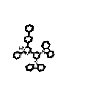 C1=CC2c3ccccc3N(c3cc(C4=CC(c5ccc(-c6ccccc6)cc5)NC(c5ccccc5)=N4)cc(-n4c5ccccc5c5ccccc54)c3)C2C=C1